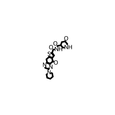 O=C1CNCC(C(=O)NC(=O)c2cc3c(s2)Cc2ncc(N4CCCCC4)nc2C3=O)C1